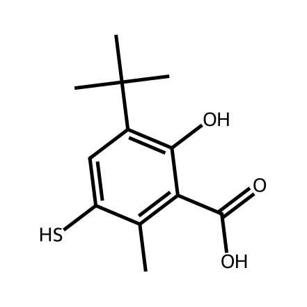 Cc1c(S)cc(C(C)(C)C)c(O)c1C(=O)O